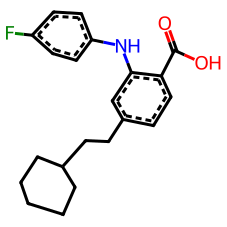 O=C(O)c1ccc(CCC2CCCCC2)cc1Nc1ccc(F)cc1